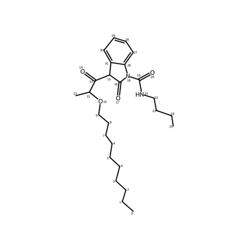 CCCCCCCCCCOC(C)C(=O)C1C(=O)N(C(=O)NCCCC)c2ccccc21